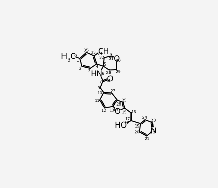 Cc1ccc(C2(NC(=O)Cc3ccc4oc(CC(O)c5ccncc5)cc4c3)CCOCC2)c(C)c1